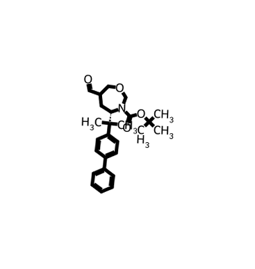 CC(C)(C)OC(=O)N1COCC(C=O)C[C@H]1C(C)(C)c1ccc(-c2ccccc2)cc1